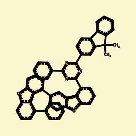 CC1(C)c2ccccc2-c2ccc(-c3nc(-c4ccccc4)nc(-c4cccc5oc6ccc(-c7cccc8oc9cccc(-c%10ccccc%10)c9c78)cc6c45)n3)cc21